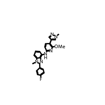 COc1nc(Nc2cccc3c2nc(-c2ccc(F)cc2)n3C)ccc1-c1cnn(C)c1